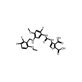 CCOc1ccc(F)c(F)c1CNc1cc(NC(=O)Nc2csc(C(=O)O)c2C(=O)O)c(F)cc1OC